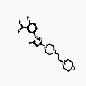 Cc1cc(N2CCN(CCN3CCOCC3)CC2)nn1-c1ccc(F)c(C(F)F)c1